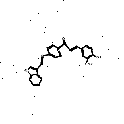 COc1cc(C=CC(=O)c2ccc(N=Cc3c[nH]c4ccccc34)cc2)ccc1O